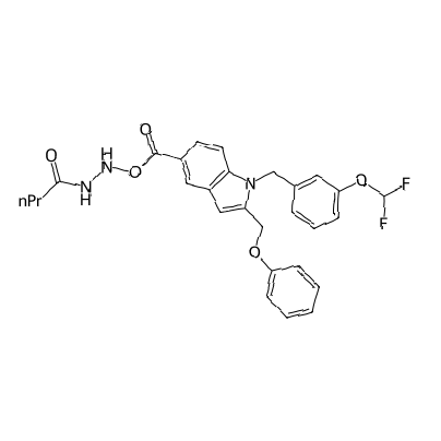 CCCC(=O)NNOC(=O)c1ccc2c(c1)cc(COc1ccccc1)n2Cc1cccc(OC(F)F)c1